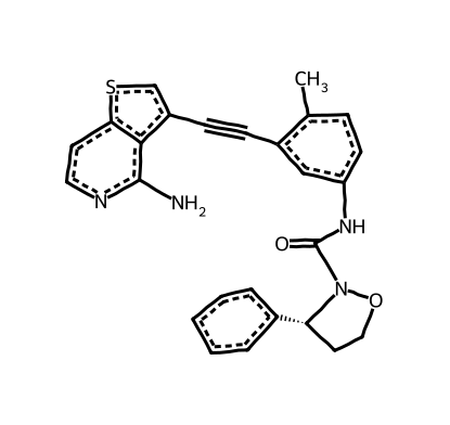 Cc1ccc(NC(=O)N2OCC[C@@H]2c2ccccc2)cc1C#Cc1csc2ccnc(N)c12